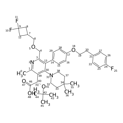 Cc1nc(COCC2CC(F)(F)C2)c(-c2ccc(OCCc3ccc(F)cc3)cc2)c(N2CCC(C)(C)CC2)c1[C@H](OC(C)(C)C)C(=O)O